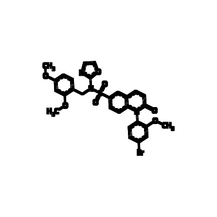 COc1ccc(CN(c2ncco2)S(=O)(=O)c2ccc3c(ccc(=O)n3-c3ccc(Br)cc3OC)c2)c(OC)c1